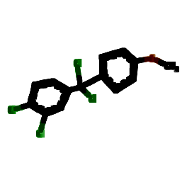 CSc1ccc(C(Cl)(Cl)c2ccc(Cl)c(Cl)c2)cc1